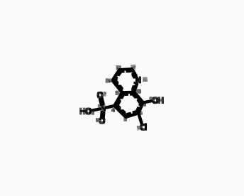 O=S(=O)(O)c1cc(Cl)c(O)c2ncccc12